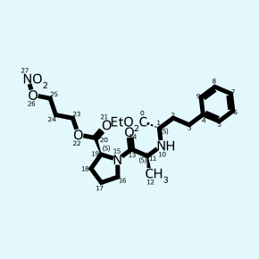 CCOC(=O)[C@H](CCc1ccccc1)N[C@@H](C)C(=O)N1CCC[C@H]1C(=O)OCCCO[N+](=O)[O-]